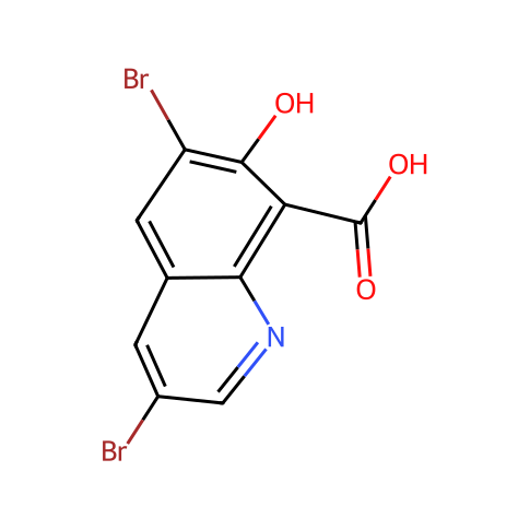 O=C(O)c1c(O)c(Br)cc2cc(Br)cnc12